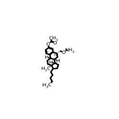 CCCCCC1CC[C@H]2[C@@H]3C[C@@H](CON)c4cc(OC(C)=O)ccc4[C@H]3CC[C@]12C